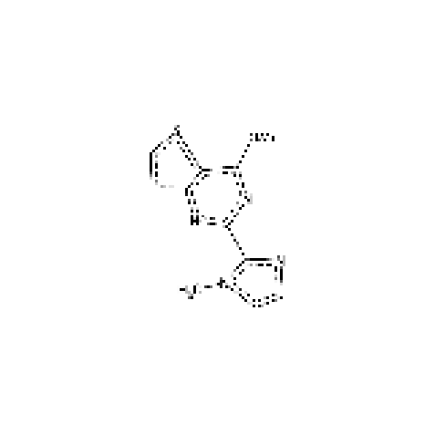 COc1nc(-c2nccn2C)nc2ccsc12